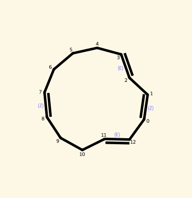 C1=C\C=C\CCC/C=C\CC/C=C/1